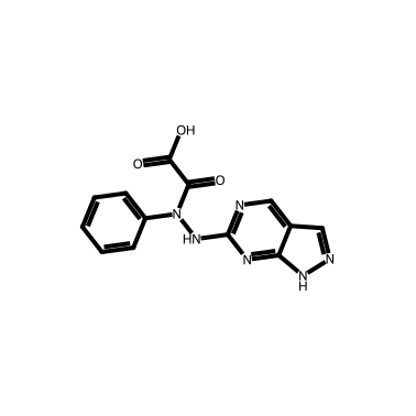 O=C(O)C(=O)N(Nc1ncc2cn[nH]c2n1)c1ccccc1